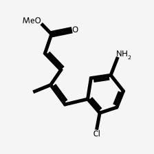 COC(=O)C=CC(C)=Cc1cc(N)ccc1Cl